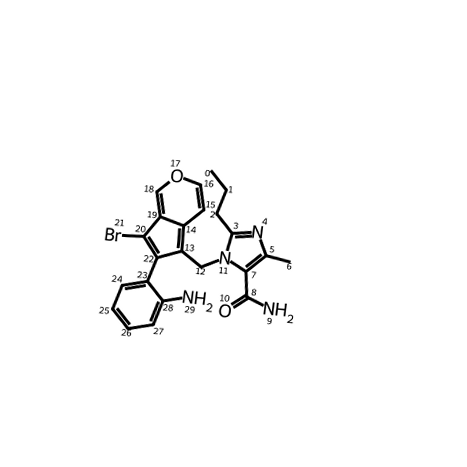 CCCc1nc(C)c(C(N)=O)n1Cc1c2ccocc-2c(Br)c1-c1ccccc1N